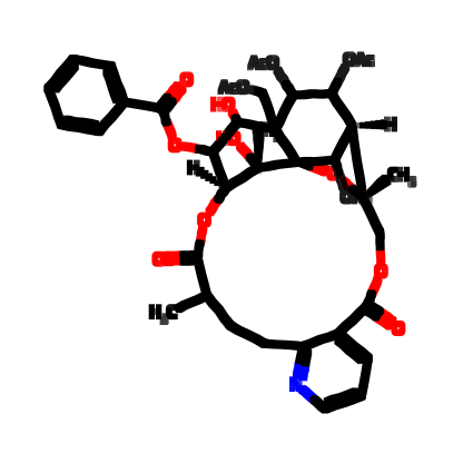 CC(=O)OCC12C(O)C(OC(=O)c3ccccc3)[C@@H]3OC(=O)C(C)CCc4ncccc4C(=O)OC[C@]4(C)O[C@@]1(C(OC(C)=O)[C@H]4C(OC(C)=O)C2OC(C)=O)[C@@]3(C)O